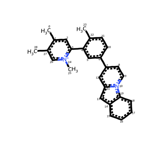 Cc1cc(-c2cc(-c3ccn4c(c3)cc3ccccc34)ccc2C)[n+](C)cc1C